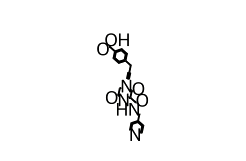 O=C1CN(C#CCc2ccc(C(=O)O)cc2)C(=O)C(C(=O)NCc2ccncc2)=N1